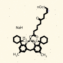 CCCCCCCC/C=C\CCC(=O)CCCCC(=O)OP1Oc2c(cc(C)cc2C2(C)CCCCC2)Cc2cc(C)cc(C3(C)CCCCC3)c2O1.[NaH]